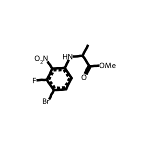 COC(=O)C(C)Nc1ccc(Br)c(F)c1[N+](=O)[O-]